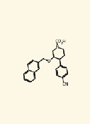 N#Cc1ccc(C2CCN(C(=O)O)CC2OCc2ccc3ccccc3c2)cc1